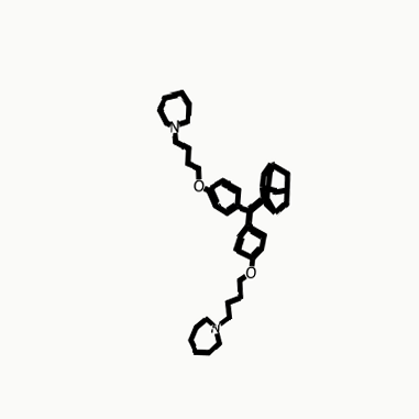 c1cc(C(=C2C3CC4CC(C3)CC2C4)c2ccc(OCCCCN3CCCCCC3)cc2)ccc1OCCCCN1CCCCCC1